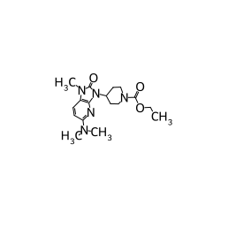 CCOC(=O)N1CCC(n2c(=O)n(C)c3ccc(N(C)C)nc32)CC1